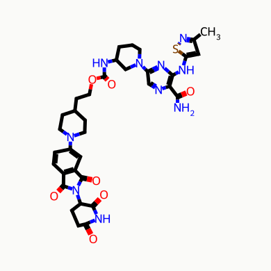 Cc1cc(Nc2nc(N3CCCC(NC(=O)OCCC4CCN(c5ccc6c(c5)C(=O)N(C5CCC(=O)NC5=O)C6=O)CC4)C3)cnc2C(N)=O)sn1